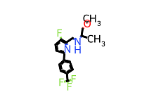 COCC(C)NCc1nc(-c2ccc(C(F)(F)F)cc2)ccc1F